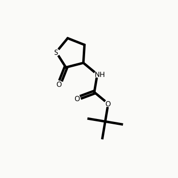 CC(C)(C)OC(=O)NC1CCSC1=O